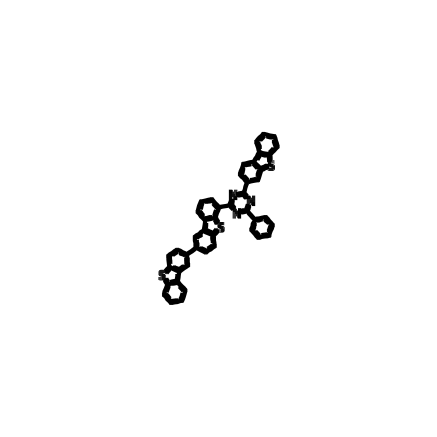 c1ccc(-c2nc(-c3ccc4c(c3)sc3ccccc34)nc(-c3cccc4c3sc3ccc(-c5ccc6sc7ccccc7c6c5)cc34)n2)cc1